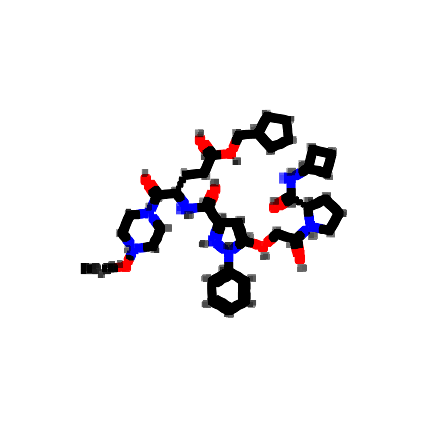 CCOC(=O)ON1CCN(C(=O)[C@H](CCC(=O)OCC2CCCC2)NC(=O)c2cc(OCC(=O)N3CCC[C@H]3C(=O)NC3CCC3)n(-c3ccccc3)n2)CC1